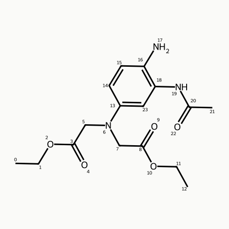 CCOC(=O)CN(CC(=O)OCC)c1ccc(N)c(NC(C)=O)c1